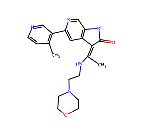 CC(NCCN1CCOCC1)=C1C(=O)Nc2cnc(-c3cnccc3C)cc21